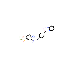 Nc1ccccc1NC(=O)c1ccc(Cn2nc3ccc(S(=O)(=O)C(F)(F)F)cc3c2N)cc1